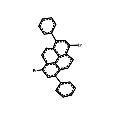 Brc1cc(-c2ccccc2)c2ccc3c(Br)cc(-c4ccccc4)c4ccc1c2c34